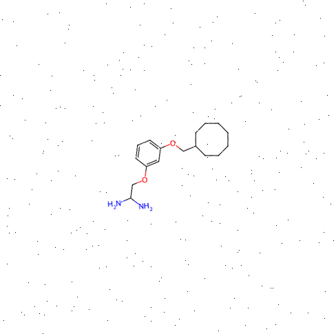 NC(N)COc1cccc(OCC2CCCCCCC2)c1